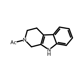 CC(=O)N1CCc2c([nH]c3ccccc23)C1